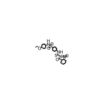 CCOc1ccc(NS(=O)(=O)c2ccc(NC(=S)NC(=O)c3ccccc3N=O)cc2)cc1